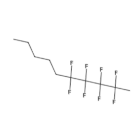 CCCCCC(F)(F)C(F)(F)C(F)(F)C(C)(F)F